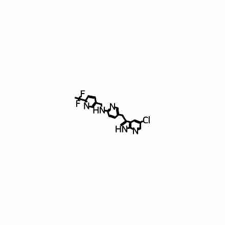 CC(F)(F)c1ccc(CNc2ccc(Cc3c[nH]c4ncc(Cl)cc34)cn2)cn1